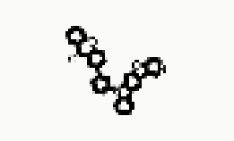 O=c1c2ccccc2oc2ccc(-c3cccc(-n4c5ccccc5c5cc6c(cc54)oc4ccncc46)c3)cc12